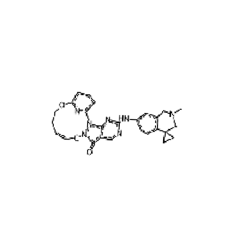 CN1Cc2cc(Nc3ncc4c(=O)n5n(c4n3)-c3cccc(n3)OCC/C=C\C5)ccc2C2(CC2)C1